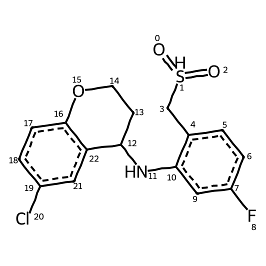 O=[SH](=O)Cc1ccc(F)cc1NC1CCOc2ccc(Cl)cc21